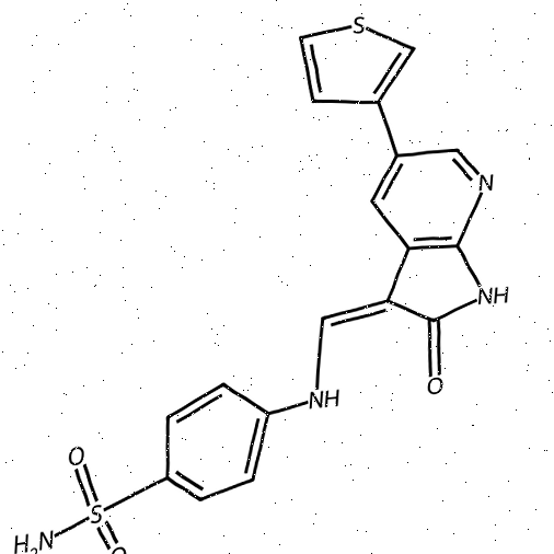 NS(=O)(=O)c1ccc(N/C=C2\C(=O)Nc3ncc(-c4ccsc4)cc32)cc1